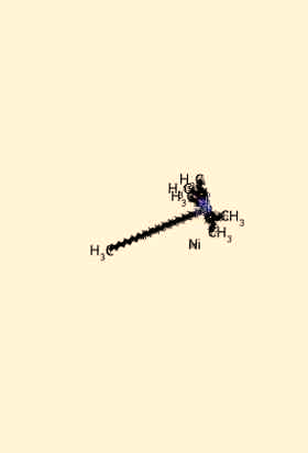 CCCCCCCCCCCCCCCCCCCCCCCCCCC/C=C/C(=N\c1ccc(CCC)c(CCC)c1)C(/CCCC)=N/c1ccc(CCC)c(CCC)c1.[Ni]